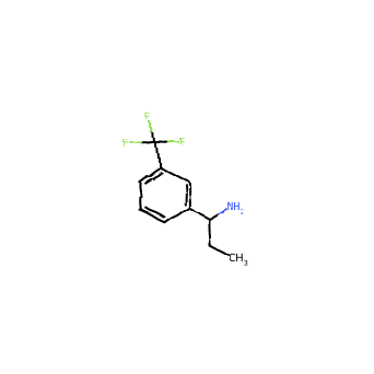 CCC(N)c1cccc(C(F)(F)F)c1